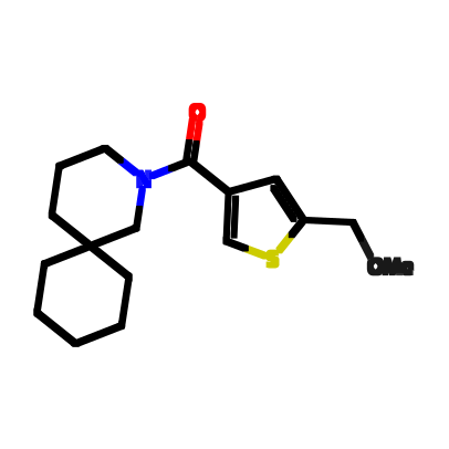 COCc1cc(C(=O)N2CCCC3(CCCCC3)C2)cs1